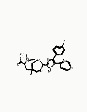 CN(C)C(CC1(C)COC(c2nc(-c3ccc(F)cc3)c(-c3ccn[c]n3)[nH]2)OC1)C(N)=O